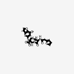 O=C(Cc1cccs1)NC1C(=O)N2CC(Sc3cc(=O)c4occc4s3)(C(=O)O)CS[C@H]12